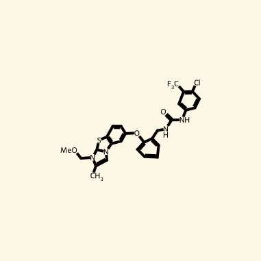 COCN1C(C)=CN2c3cc(Oc4ccccc4CNC(=O)Nc4ccc(Cl)c(C(F)(F)F)c4)ccc3SC12